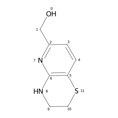 OCc1ccc2c(n1)NCCS2